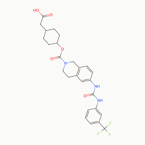 O=C(O)CC1CCC(OC(=O)N2CCc3cc(NC(=O)Nc4cccc(C(F)(F)F)c4)ccc3C2)CC1